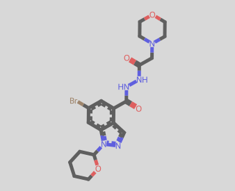 O=C(CN1CCOCC1)NNC(=O)c1cc(Br)cc2c1cnn2C1CCCCO1